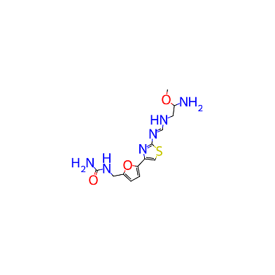 COC(N)CNC=Nc1nc(-c2ccc(CNC(N)=O)o2)cs1